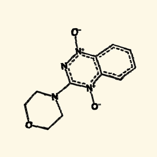 [O-][n+]1nc(N2CCOCC2)[n+]([O-])c2ccccc21